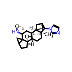 CNC1C[C@H]2[C@@H]3CC=C(n4ccnc4)[C@@]3(C)CC[C@@H]2[C@@]2(C)CCC3CC312